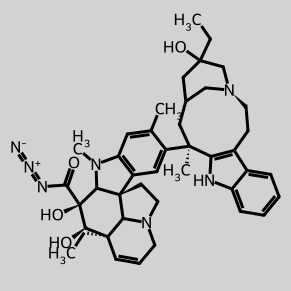 CCC1(O)CC2C[N@](CCc3c([nH]c4ccccc34)[C@@](C)(c3cc4c(cc3C)N(C)C3[C@]45CCN4CC=C[C@](CC)(C45)[C@@H](O)[C@]3(O)C(=O)N=[N+]=[N-])C2)C1